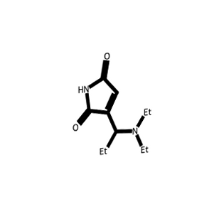 CCC(C1=CC(=O)NC1=O)N(CC)CC